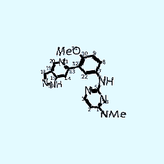 CNc1ccnc(Nc2ccc(OC)c(-c3cc4[nH]ncc4cn3)c2)n1